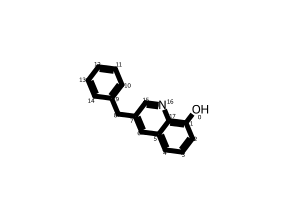 Oc1cccc2cc(Cc3ccccc3)cnc12